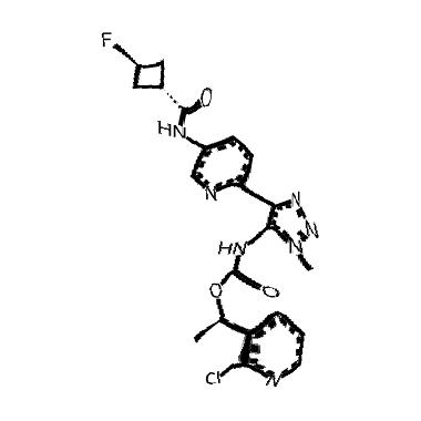 C[C@@H](OC(=O)Nc1c(-c2ccc(NC(=O)[C@H]3C[C@H](F)C3)cn2)nnn1C)c1cccnc1Cl